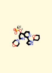 O=S(=O)(Oc1cc(N2CCOCC2)nc2c(-c3ccnn3C3CCCCO3)nccc12)C(F)(F)F